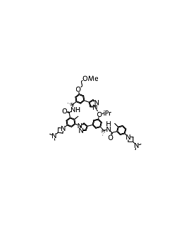 COCCOc1cc(-c2cnn(C)c2)cc([C@@H](C)NC(=O)c2cc(N3CC(N(C)C)C3)cc(-n3cc(-c4cc(OC(C)C)cc([C@@H](C)NC(=O)c5cc(N6CC(N(C)C)C6)ccc5C)c4)cn3)c2C)c1